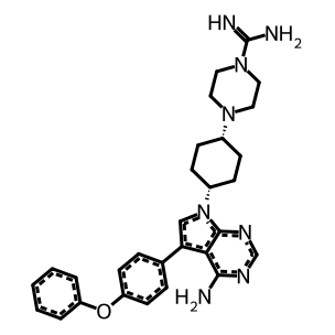 N=C(N)N1CCN([C@H]2CC[C@@H](n3cc(-c4ccc(Oc5ccccc5)cc4)c4c(N)ncnc43)CC2)CC1